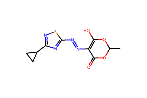 CC1OC(=O)C(N=Nc2nc(C3CC3)ns2)=C(O)O1